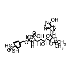 CC1(C)O[C@@H]2[C@H](O1)[C@@H](C(O)CCC(NC(=O)OCc1ccc(P(=O)(O)O)cc1)P(=O)(O)O)O[C@H]2n1cnc2c(O)ncnc21